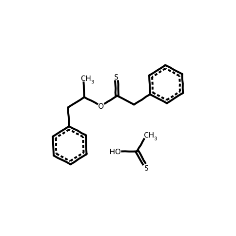 CC(Cc1ccccc1)OC(=S)Cc1ccccc1.CC(O)=S